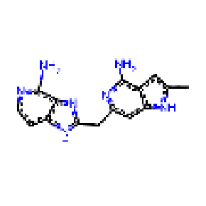 Cc1cc2c(N)nc(Cc3nc4c(N)nccc4[nH]3)cc2[nH]1